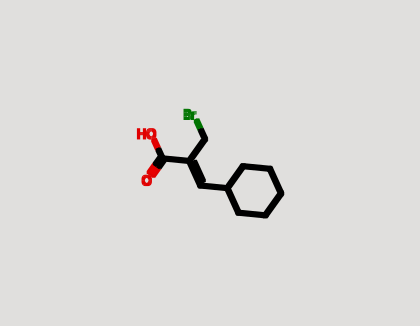 O=C(O)C(=CC1CCCCC1)CBr